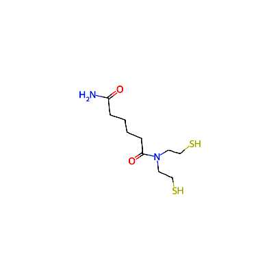 NC(=O)CCCCC(=O)N(CCS)CCS